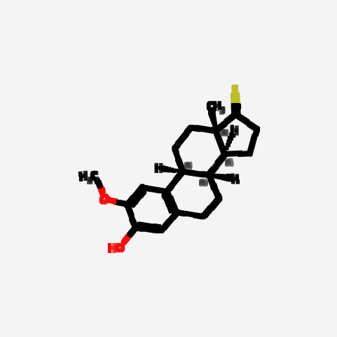 COc1cc2c(cc1O)CC[C@@H]1[C@@H]2CC[C@]2(C)C(=S)CC[C@@H]12